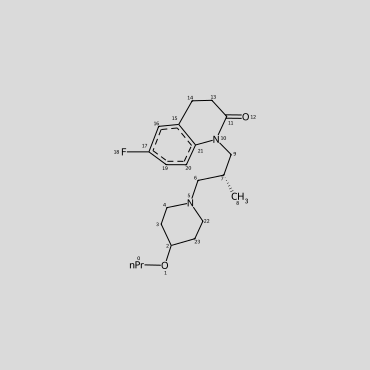 CCCOC1CCN(C[C@@H](C)CN2C(=O)CCc3cc(F)ccc32)CC1